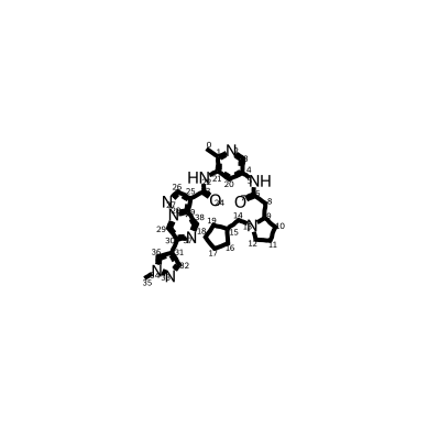 Cc1ncc(NC(=O)CC2CCCN2CC2CCCC2)cc1NC(=O)c1cnn2cc(-c3cnn(C)c3)ncc12